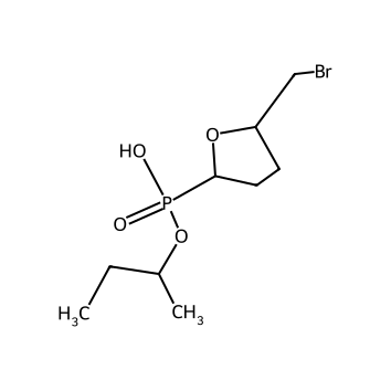 CCC(C)OP(=O)(O)C1CCC(CBr)O1